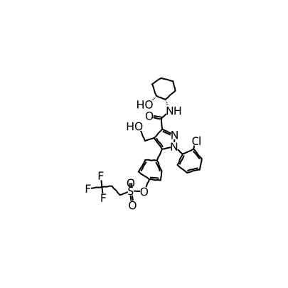 O=C(N[C@H]1CCCC[C@H]1O)c1nn(-c2ccccc2Cl)c(-c2ccc(OS(=O)(=O)CCC(F)(F)F)cc2)c1CO